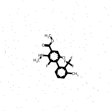 CNc1c(C(=O)OC)cc(Cl)c(-c2cccc(C)c2C(F)(F)F)c1F